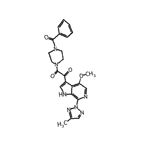 COc1cnc(-n2ncc(C)n2)c2[nH]cc(C(=O)C(=O)N3CCN(C(=O)c4ccccc4)CC3)c12